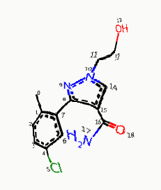 Cc1ccc(Cl)cc1-c1nn(CCO)cc1C(N)=O